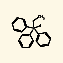 CCP(I)(c1ccccc1)(c1ccccc1)c1ccccc1